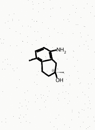 Cc1ccc(N)c2c1CC[C@](C)(O)C2